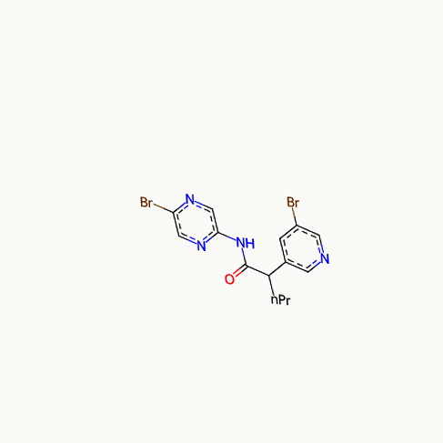 CCCC(C(=O)Nc1cnc(Br)cn1)c1cncc(Br)c1